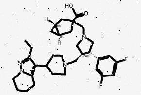 CCc1nn2c(c1C1CCN(C[C@H]3CN(CC4(C(=O)O)C[C@H]5C[C@@H]5C4)C[C@@H]3c3cc(F)cc(F)c3)CC1)CCCC2